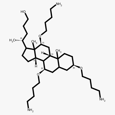 C[C@H](CCCO)C1CC[C@H]2C3[C@H](OCCCCN)CC4C[C@H](OCCCCN)CCC4(C)[C@H]3C[C@H](OCCCCN)C12C